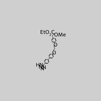 CCOC(=O)[C@H](Cc1ccc(OCCCOc2ccc(-c3ccc(-c4nnn[nH]4)cc3)cc2)cc1)OC